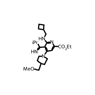 CCOC(=O)c1cc(N2CCC(COC)CC2)c(C(=N)C(C)C)c(NCC2CCC2)n1